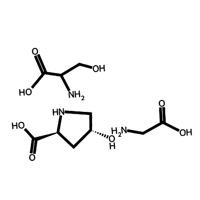 NC(CO)C(=O)O.NCC(=O)O.O=C(O)[C@@H]1C[C@@H](O)CN1